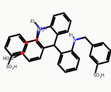 CCN(Cc1cccc(S(=O)(=O)O)c1)c1ccccc1C(c1ccccc1N(CC)Cc1cccc(S(=O)(=O)O)c1)c1ccc(S(=O)(=O)O)cc1S(=O)(=O)O